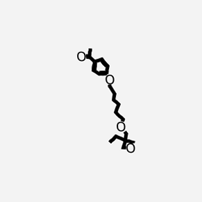 CCC1(COCCCCCCOc2ccc(C(C)=O)cc2)COC1